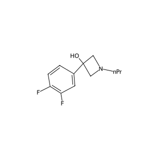 CCCN1CC(O)(c2ccc(F)c(F)c2)C1